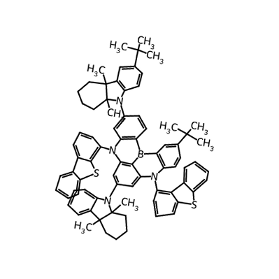 CC(C)(C)c1ccc2c(c1)B1c3ccc(N4c5ccc(C(C)(C)C)cc5C5(C)CCCCC45C)cc3N(c3cccc4c3sc3ccccc34)c3cc(N4c5ccccc5C5(C)CCCCC45C)cc(c31)N2c1cccc2sc3ccccc3c12